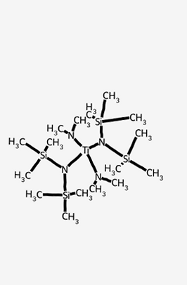 C[N](C)[Ti]([N](C)C)([N]([Si](C)(C)C)[Si](C)(C)C)[N]([Si](C)(C)C)[Si](C)(C)C